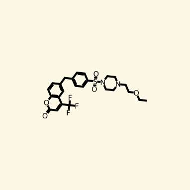 CCOCCN1CCN(S(=O)(=O)c2ccc(Cc3ccc4oc(=O)cc(C(F)(F)F)c4c3)cc2)CC1